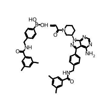 C=CC(=O)N1CCC[C@@H](n2nc(-c3ccc(CNC(=O)c4cc(C)cc(C)c4)cc3)c3c(N)ncnc32)C1.Cc1cc(C)cc(C(=O)NCc2ccc(B(O)O)cc2)c1